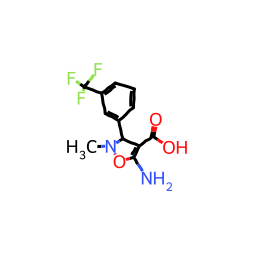 CN1OC(N)=C(C(=O)O)C1c1cccc(C(F)(F)F)c1